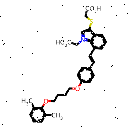 Cc1cccc(C)c1OCCCCOc1ccc(C=Cc2cccc3c(SCC(=O)O)cn(CC(=O)O)c23)cc1